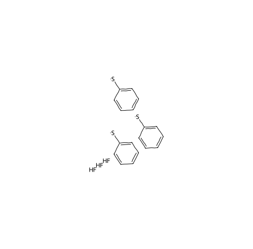 F.F.F.[S]c1ccccc1.[S]c1ccccc1.[S]c1ccccc1